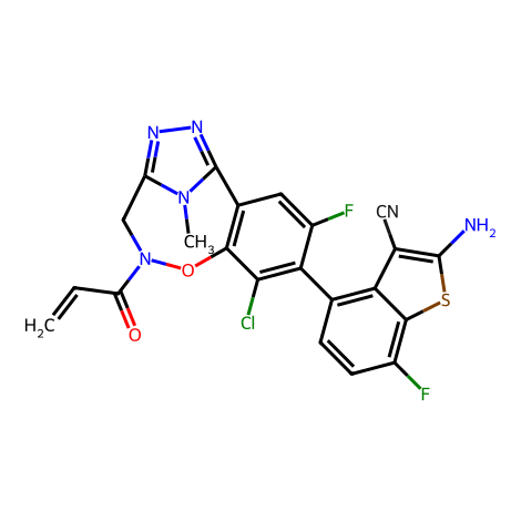 C=CC(=O)N1Cc2nnc(n2C)-c2cc(F)c(-c3ccc(F)c4sc(N)c(C#N)c34)c(Cl)c2O1